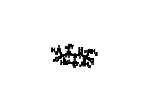 CC(C)NP(N)(=O)N(SNP(N)(N)=O)C(C)C